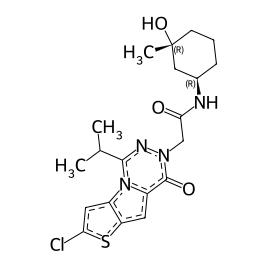 CC(C)c1nn(CC(=O)N[C@@H]2CCC[C@@](C)(O)C2)c(=O)c2cc3sc(Cl)cc3n12